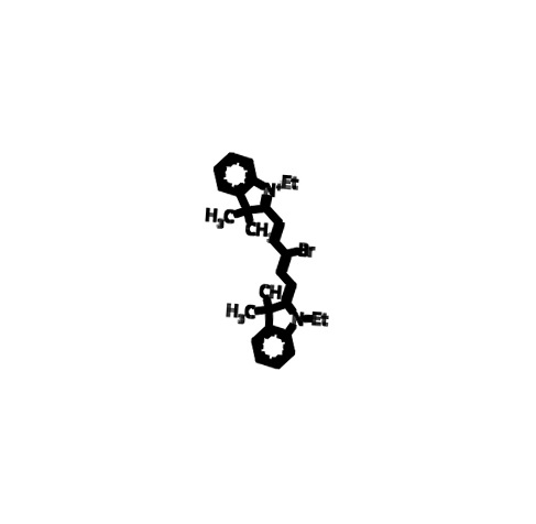 CCN1/C(=C/C=C(Br)/C=C/C2=[N+](CC)c3ccccc3C2(C)C)C(C)(C)c2ccccc21